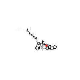 CCCCCCC(C)OCC(=O)NCCNC(=O)OC[C@H]1O[C@@H](n2ccc(=O)[nH]c2=O)[C@@H](O)C1OP(=O)(O)OCC(=O)[C@@]1(O)[C@H](C)C[C@H]2[C@@H]3CCC4=CC(=O)C=C[C@]4(C)[C@@]3(F)[C@@H](O)C[C@@]21C